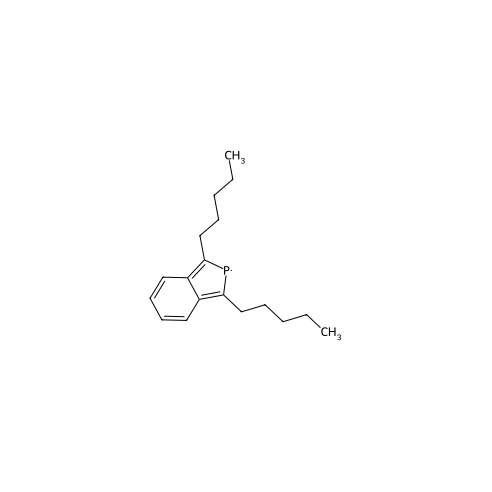 CCCCCC1=c2ccccc2=C(CCCCC)[P]1